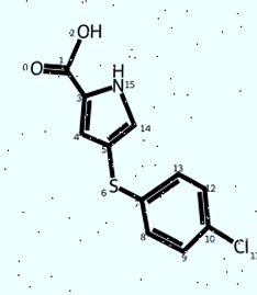 O=C(O)c1cc(Sc2ccc(Cl)cc2)c[nH]1